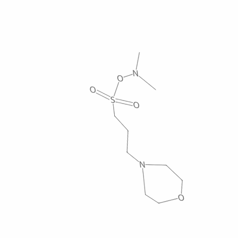 CN(C)OS(=O)(=O)CCCN1CCOCC1